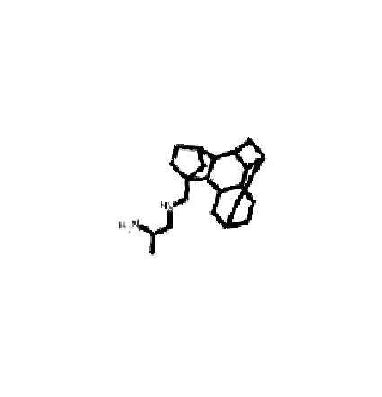 CC(N)CNCC12CCC(C1)C1C3CC4C5CCC(C(C5)C12)C43